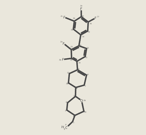 CCC1CCC(C2CC=C(c3ccc(-c4cc(F)c(F)c(F)c4)c(F)c3F)CC2)OC1